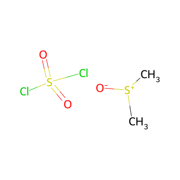 C[S+](C)[O-].O=S(=O)(Cl)Cl